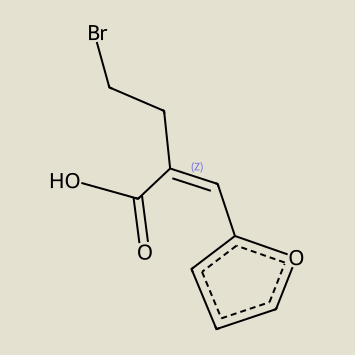 O=C(O)/C(=C\c1ccco1)CCBr